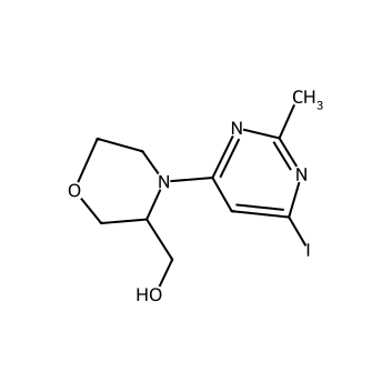 Cc1nc(I)cc(N2CCOCC2CO)n1